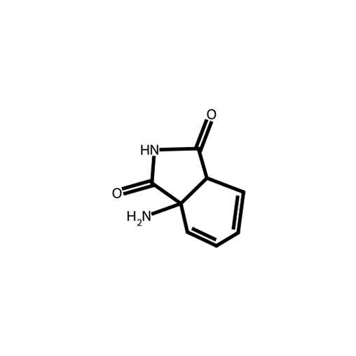 NC12C=CC=CC1C(=O)NC2=O